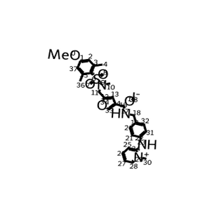 COc1cc(C)c(S(=O)(=O)N(C)Cc2cc(C(=O)NCc3ccc(Nc4cccc[n+]4C)cc3)co2)c(C)c1.[I-]